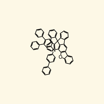 c1ccc(-c2ccc(N(c3ccc(-c4ccccc4)c(-c4ccccc4)c3)c3c4c(cc5c3oc3ccccc35)-c3ccccc3C43c4ccccc4-c4ccccc43)cc2)cc1